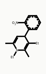 CCC1=C(C)N(CC)C(C)=CC1c1ccccc1[N+](=O)[O-]